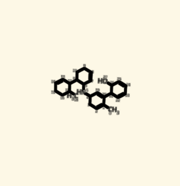 CC1=CCC(NC2C=CCCC2C2C=CCCC2C)C=C1C1C=CC=CC1O